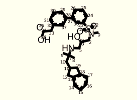 CN(C[C@H](O)CNC(C)(C)CC1Cc2ccccc2C1)S(=O)(=O)c1cccc(-c2cccc(CC(=O)O)c2)c1